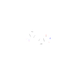 O=C1NC(=O)c2cc(Oc3ccccc3[N+](=O)[O-])ccc21